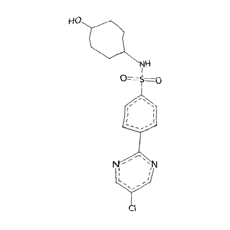 O=S(=O)(NC1CCC(O)CC1)c1ccc(-c2ncc(Cl)cn2)cc1